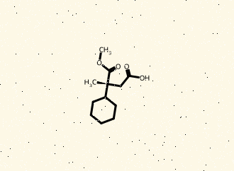 COC(=O)[C@](C)(CC(=O)O)C1CCCCC1